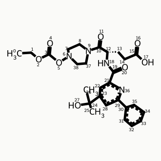 CCOC(=O)ON1CCN(C(=O)[C@H](CCC(=O)O)NC(=O)c2cc(C(C)(C)O)cc(-c3ccccc3)n2)CC1